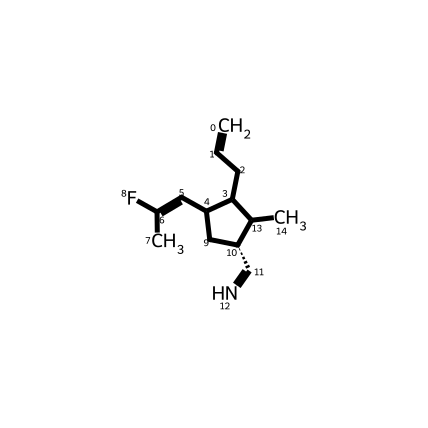 C=CCC1C(/C=C(\C)F)C[C@@H](C=N)C1C